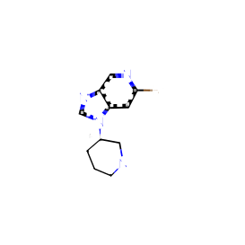 Brc1cc2c(cn1)ncn2[C@@H]1CCCNC1